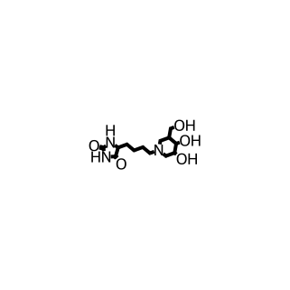 O=C1NC(=O)C(CCCCN2CC(O)C(O)C(CO)C2)N1